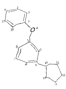 c1ccc(Oc2cccc(C3CCCC3)c2)cc1